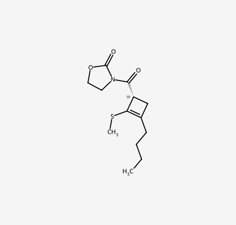 CCCCC1=C(SC)[C@H](C(=O)N2CCOC2=O)C1